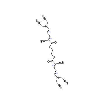 N#CCN(/C=C/C=C(\C#N)C(=O)OCCOC(=O)/C(C#N)=C/C=C/N(CC#N)CC#N)CC#N